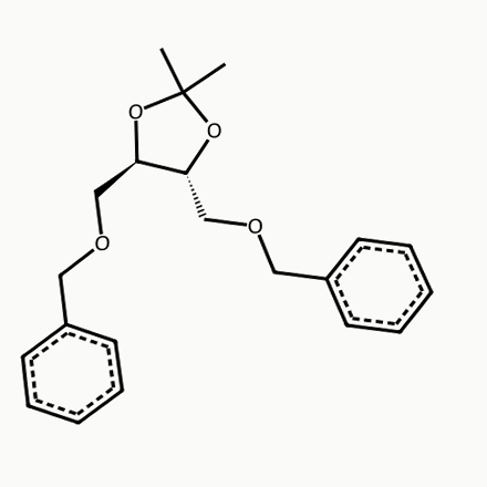 CC1(C)O[C@H](COCc2ccccc2)[C@@H](COCc2ccccc2)O1